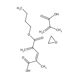 C1CO1.C=C(C)C(=O)O.C=C(C=C(C)C(=O)O)C(=O)OCCCC